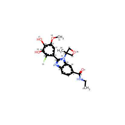 CCNC(=O)c1ccc2nc(-c3cc(OC)c(O)c(O)c3F)n(C3(C)COC3)c2c1